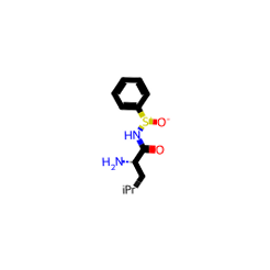 CC(C)C[C@H](N)C(=O)N[S+]([O-])c1ccccc1